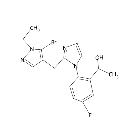 CCn1ncc(Cc2nccn2-c2ccc(F)cc2C(C)O)c1Br